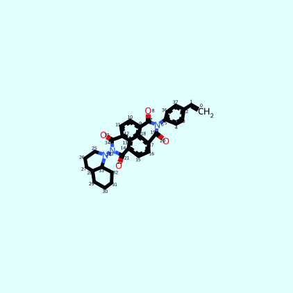 C=Cc1ccc(N2C(=O)c3ccc4c5c(ccc(c35)C2=O)C(=O)N(N2CCCC3CCCCC32)C4=O)cc1